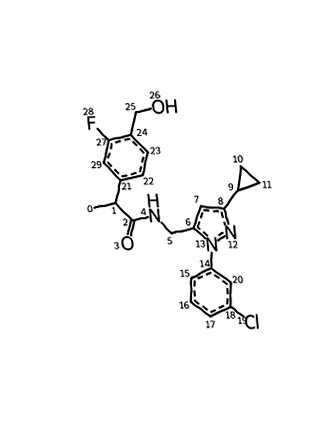 CC(C(=O)NCc1cc(C2CC2)nn1-c1cccc(Cl)c1)c1ccc(CO)c(F)c1